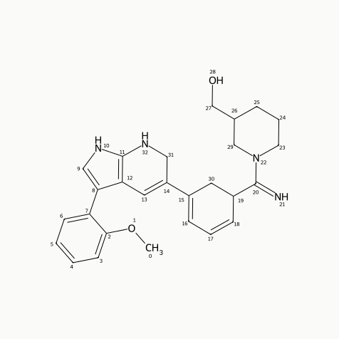 COc1ccccc1-c1c[nH]c2c1C=C(C1=CC=CC(C(=N)N3CCCC(CO)C3)C1)CN2